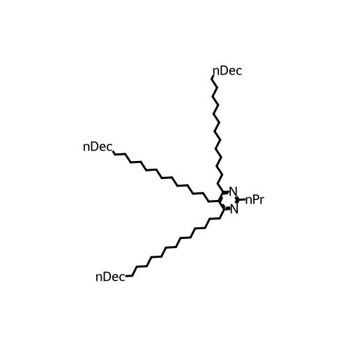 [CH2]CCc1nc(CCCCCCCCCCCCCCCCCCCCCCC)c(CCCCCCCCCCCCCCCCCCCCCCC)c(CCCCCCCCCCCCCCCCCCCCCCC)n1